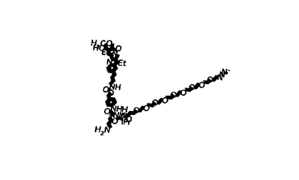 C=C1OCc2c(cc3n(c2=O)Cc2c-3nc3ccc(CCCCNC(=O)OCc4ccc(NC(=O)[C@H](CCCCN)NC(=O)[C@@H](NC(=O)CCOCCOCCOCCOCCOCCOCCOCCOCCOCCN=[N+]=[N-])C(C)C)cc4)cc3c2CC)[C@@]1(O)CC